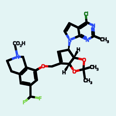 Cc1nc(Cl)c2ccn([C@@H]3C=C(COc4cc(C(F)F)cc5c4CN(C(=O)O)CC5)[C@H]4OC(C)(C)O[C@H]43)c2n1